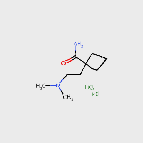 CN(C)CCC1(C(N)=O)CCC1.Cl.Cl